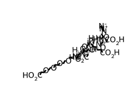 CC(C)[C@H](NC(=O)[C@H](CCC(=O)O)NC(=O)[C@@H](CC(=O)O)NC(=O)CN=[N+]=[N-])C(=O)N[C@H](CC(=O)O)C(=O)N(C)[C@@H](C)C(=O)NCCOCCOCCOCCOCCC(=O)O